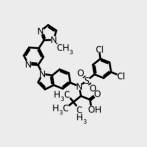 Cn1ccnc1-c1ccnc(-n2ccc3cc(N(C(C(=O)O)C(C)(C)C)S(=O)(=O)c4cc(Cl)cc(Cl)c4)ccc32)c1